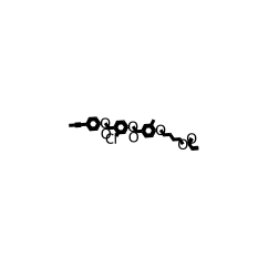 C=CC(=O)OCCCCOc1ccc(C(=O)Oc2ccc(C(=O)Oc3ccc(C#CC)cc3)c(Cl)c2)cc1C